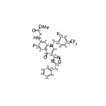 COC(=O)CNc1cc2c(cc1F)c(=O)c(-c1noc(Cc3ccccc3)n1)cn2Cc1ccc(C(F)(F)F)cc1F